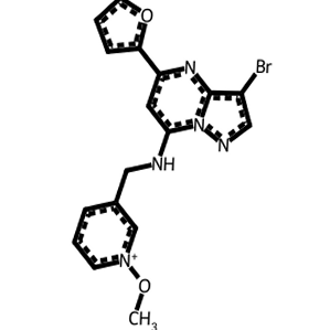 CO[n+]1cccc(CNc2cc(-c3ccco3)nc3c(Br)cnn23)c1